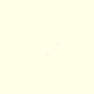 C=CN1C=CCC=C1C1SSCN1C